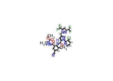 COC(=O)N(C)NC(=O)c1cc(C#N)cc(C)c1NC(=O)c1cc(Cn2nc(C(F)F)cc2C(F)F)nn1-c1ncccc1Cl